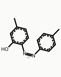 Cc1ccc(/N=N\c2ccc(C)cc2O)cc1